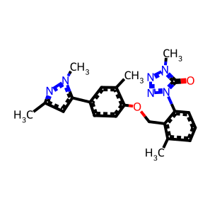 Cc1cc(-c2ccc(OCc3c(C)cccc3-n3nnn(C)c3=O)c(C)c2)n(C)n1